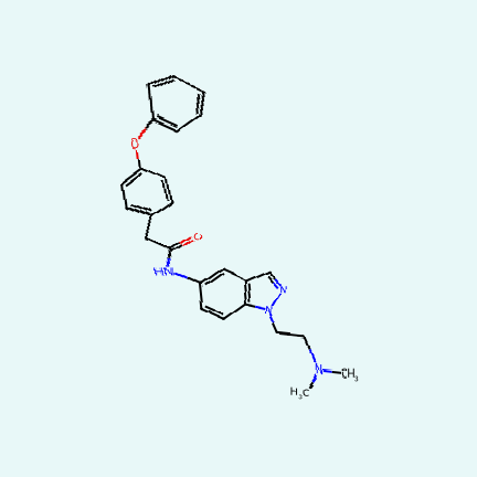 CN(C)CCn1ncc2cc(NC(=O)Cc3ccc(Oc4ccccc4)cc3)ccc21